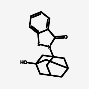 O=c1c2ccccc2sn1C12CC3CC(CC(O)(C3)C1)C2